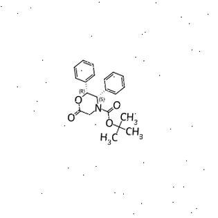 CC(C)(C)OC(=O)N1CC(=O)O[C@H](c2ccccc2)[C@@H]1c1ccccc1